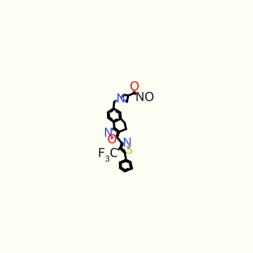 O=NC(=O)C1CN(Cc2ccc3c(c2)CCc2c-3noc2-c2nsc(-c3ccccc3)c2C(F)(F)F)C1